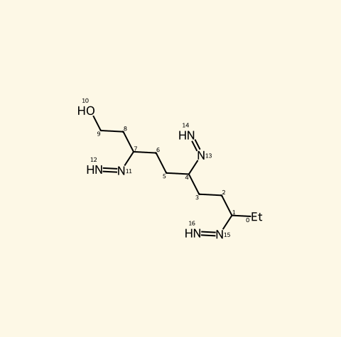 CCC(CCC(CCC(CCO)N=N)N=N)N=N